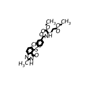 CCOC(=O)CC[C@H](NC(=O)c1ccc(Sc2c(C)ccc3nc(C)[nH]c(=O)c23)cc1)C(=O)OCC